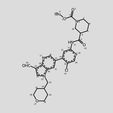 CC(C)(C)OC(=O)N1CCCC(C(=O)Nc2cc(-c3cnc4c(C=O)cn(CC5CCOCC5)c4c3)c(Cl)cn2)C1